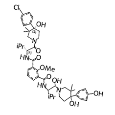 COc1c(C(=O)NC(C(C)C)C(O)N2CCC(O)(c3ccc(O)cc3)C(C)(C)C2)cccc1C(=O)N[C@@H](C(=O)N1CC[C@](O)(c2ccc(Cl)cc2)C(C)(C)C1)C(C)C